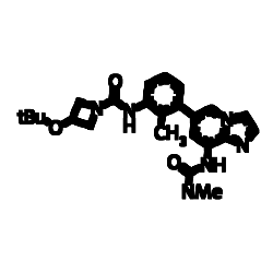 CNC(=O)Nc1cc(-c2cccc(NC(=O)N3CC(OC(C)(C)C)C3)c2C)cn2ccnc12